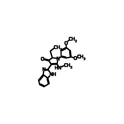 CCC1C(=O)C(c2nc3ccccc3[nH]2)=C(NC)N1c1cc(OC)cc(OC)c1